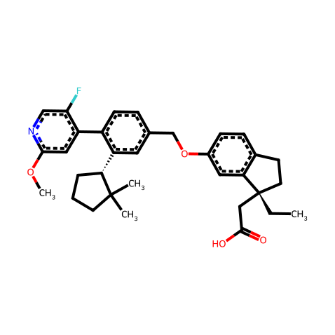 CC[C@]1(CC(=O)O)CCc2ccc(OCc3ccc(-c4cc(OC)ncc4F)c([C@H]4CCCC4(C)C)c3)cc21